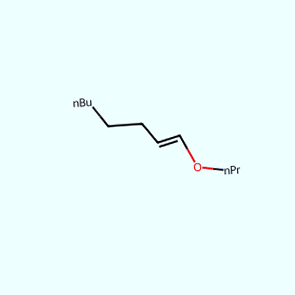 [CH2]CCOC=CCCCCCC